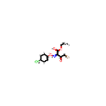 CCOC(=O)C(=NO[C@H]1CC[C@@H](Cl)CC1)C(=O)CBr